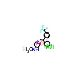 CNC1CCN(CC(c2cccc(C(F)(F)F)c2)C2(O)CCCCC2)CC1.Cl.Cl